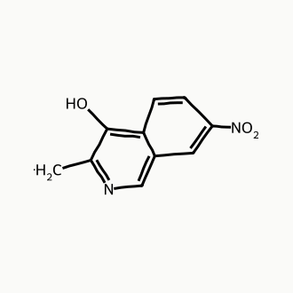 [CH2]c1ncc2cc([N+](=O)[O-])ccc2c1O